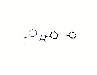 CC(C)(C)OC(=O)N1CCCC(n2nc(-c3ccc(OCc4ccccc4)cc3)c(C#N)c2N)C1